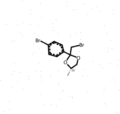 C[C@H]1COC(CBr)(c2ccc(Br)cc2)O1